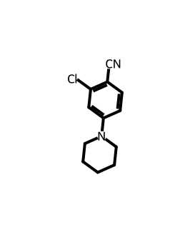 N#Cc1ccc(N2CCCCC2)cc1Cl